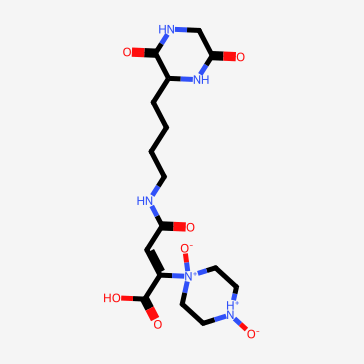 O=C(/C=C(/C(=O)O)[N+]1([O-])CC[NH+]([O-])CC1)NCCCCC1NC(=O)CNC1=O